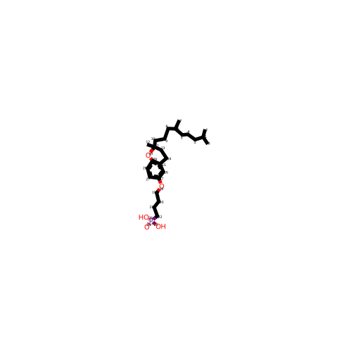 CC(C)CCCC(C)CCCC1(C)CCc2cc(OCCCCP(=O)(O)O)ccc2O1